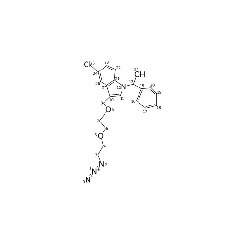 [N-]=[N+]=NCCOCCOCc1cn(C(O)c2ccccc2)c2ccc(Cl)cc12